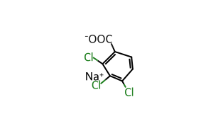 O=C([O-])c1ccc(Cl)c(Cl)c1Cl.[Na+]